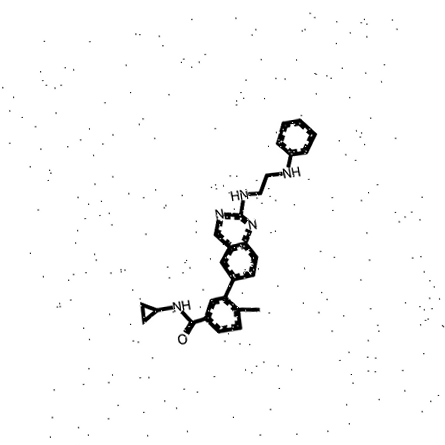 Cc1ccc(C(=O)NC2CC2)cc1-c1ccc2nc(NCCNc3ccccc3)ncc2c1